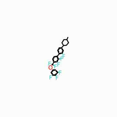 CC1CCC(c2ccc(-c3ccc(C(F)(F)Oc4cc(F)c(F)c(F)c4)c(F)c3F)c(F)c2)CC1